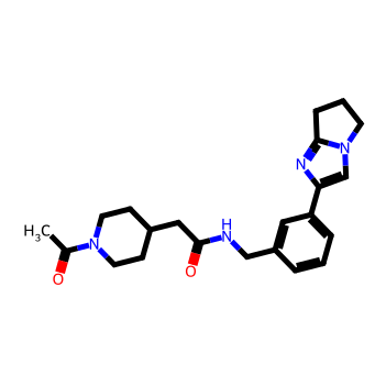 CC(=O)N1CCC(CC(=O)NCc2cccc(-c3cn4c(n3)CCC4)c2)CC1